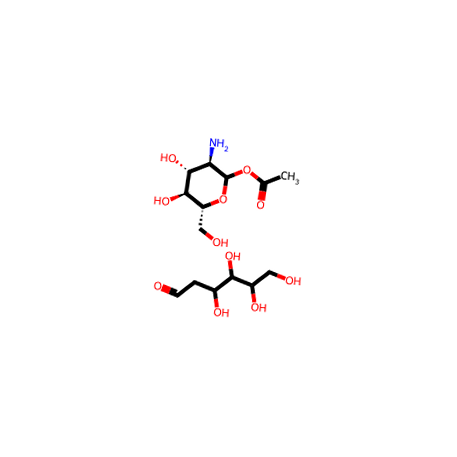 CC(=O)OC1O[C@H](CO)[C@@H](O)[C@H](O)[C@H]1N.O=CCC(O)C(O)C(O)CO